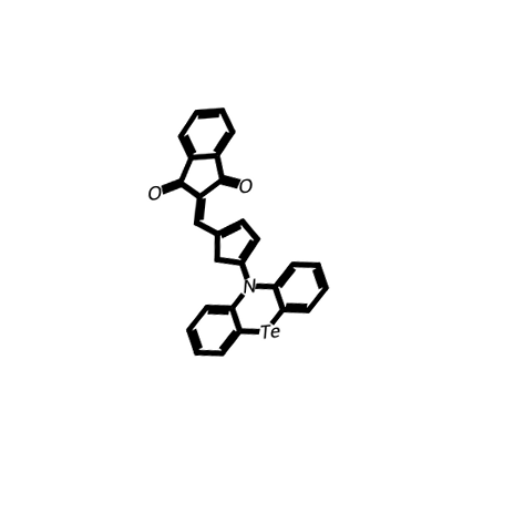 O=C1C(=CC2=CC=C(N3c4ccccc4[Te]c4ccccc43)C2)C(=O)c2ccccc21